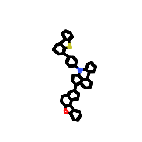 c1ccc(-c2ccccc2N(c2ccc(-c3ccc4c(c3)CCc3oc5ccccc5c3-4)cc2)c2ccc(-c3cccc4c3sc3ccccc34)cc2)cc1